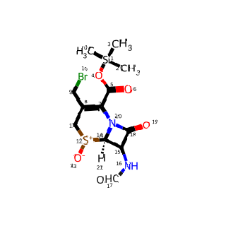 C[Si](C)(C)OC(=O)C1=C(CBr)C[S+]([O-])[C@@H]2C(NC=O)C(=O)N12